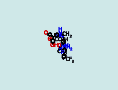 C=CN(C(=O)Nc1ccc(CNC(=C)Nc2ccc(C3=C4C=CC(=O)C=C4OC4C=C(O)C=CC34)c(C(=O)O)c2)cc1)c1nc(-c2cccc(C(F)(F)F)c2)ccc1N